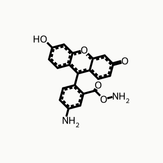 NOC(=O)c1cc(N)ccc1-c1c2ccc(=O)cc-2oc2cc(O)ccc12